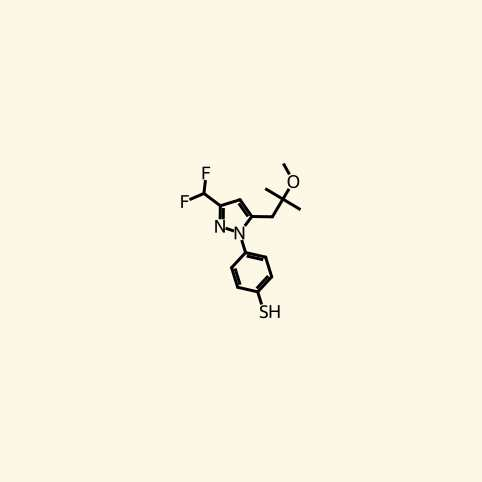 COC(C)(C)Cc1cc(C(F)F)nn1-c1ccc(S)cc1